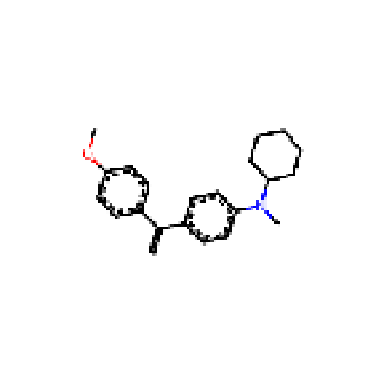 C=C(c1ccc(OC)cc1)c1ccc(N(C)C2CCCCC2)cc1